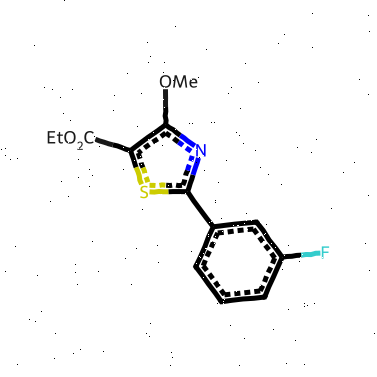 CCOC(=O)c1sc(-c2cccc(F)c2)nc1OC